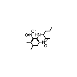 CCCC(CC)Nc1c([N+](=O)[O-])cc(C)c(C)c1[N+](=O)[O-]